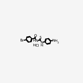 Cl.Nc1ccc(NC(=S)NC(=O)c2ccc(Br)cc2)cc1